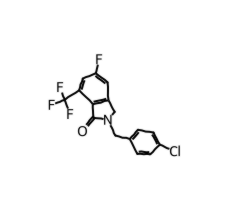 O=C1c2c(cc(F)cc2C(F)(F)F)CN1Cc1ccc(Cl)cc1